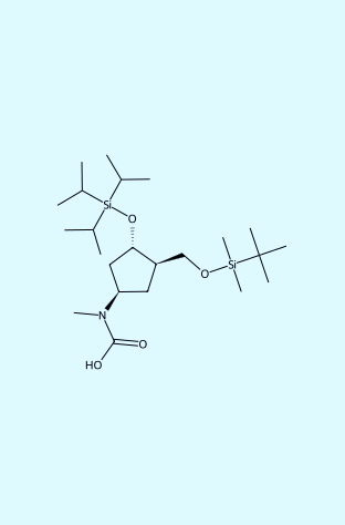 CC(C)[Si](O[C@H]1C[C@H](N(C)C(=O)O)C[C@@H]1CO[Si](C)(C)C(C)(C)C)(C(C)C)C(C)C